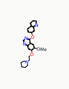 COc1cc2c(Oc3ccc4cccnc4c3)ncnc2cc1OCCN1CCCCC1